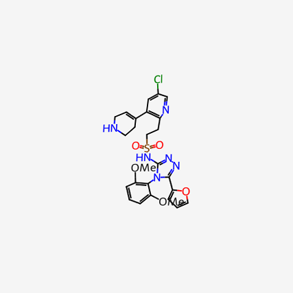 COc1cccc(OC)c1-n1c(NS(=O)(=O)CCc2ncc(Cl)cc2C2=CCNCC2)nnc1-c1ccco1